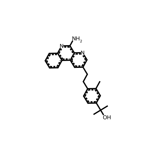 Cc1cc(C(C)(C)O)ccc1CCc1cnc2c(N)nc3ccccc3c2c1